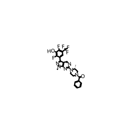 C[C@@H]1CN(C(=O)c2ccccc2)CCN1c1ncc2c(-c3cc(C(F)(F)F)c(F)c(O)c3F)nn(C)c2n1